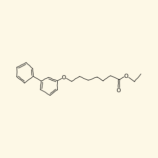 CCOC(=O)CCCCCCOc1cccc(-c2ccccc2)c1